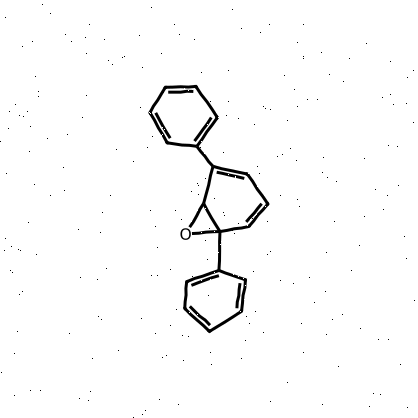 C1=CC2(c3ccccc3)OC2C(c2ccccc2)=C1